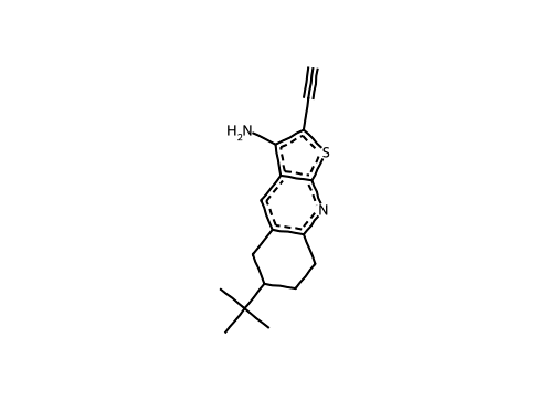 C#Cc1sc2nc3c(cc2c1N)CC(C(C)(C)C)CC3